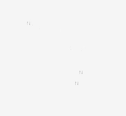 N#Cc1ccc(-c2ccc(-c3cccc4c3Sc3ccc(-c5cc(-c6ccccc6)nc(-c6ccccc6)n5)cc3C43c4ccccc4-c4ccccc43)cc2)cc1